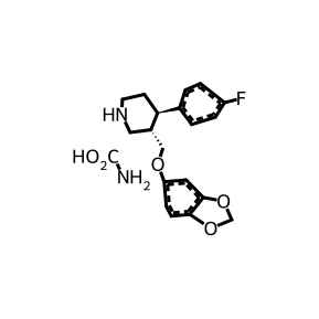 Fc1ccc([C@@H]2CCNC[C@H]2COc2ccc3c(c2)OCO3)cc1.NC(=O)O